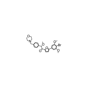 COc1cc(-c2ccc(C(=O)C(OC)c3ccc(CN4CCOCC4)cc3)o2)cc(OC)c1Br